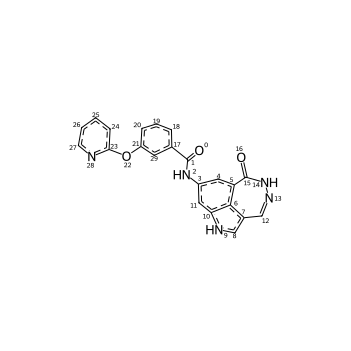 O=C(Nc1cc2c3c(c[nH]c3c1)C=NNC2=O)c1cccc(Oc2ccccn2)c1